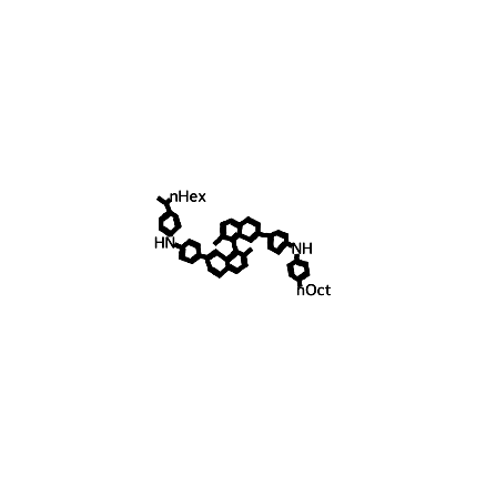 CCCCCCCCc1ccc(Nc2ccc(-c3ccc4ccc(C)c(-c5c(C)ccc6ccc(-c7ccc(Nc8ccc(C(C)CCCCCC)cc8)cc7)cc56)c4c3)cc2)cc1